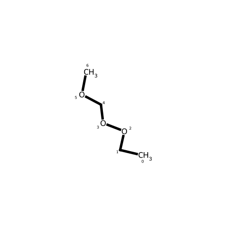 CCOOCOC